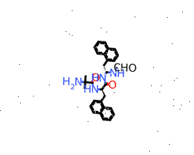 CC(C)(N)C(=O)N[C@H](Cc1cccc2ccccc12)C(=O)N[C@H](Cc1cccc2ccccc12)NC=O